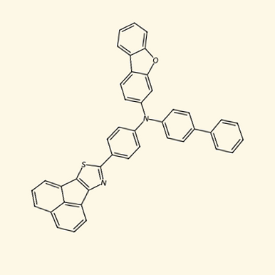 c1ccc(-c2ccc(N(c3ccc(-c4nc5c(s4)-c4cccc6cccc-5c46)cc3)c3ccc4c(c3)oc3ccccc34)cc2)cc1